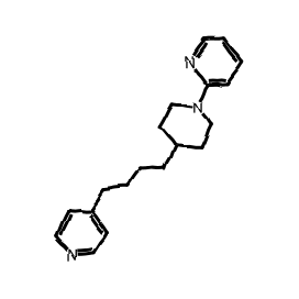 c1ccc(N2CCC(CCCCc3ccncc3)CC2)nc1